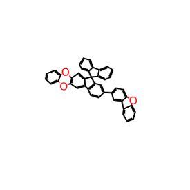 c1ccc2c(c1)Oc1cc3c(cc1O2)C1(c2ccccc2-c2ccccc21)c1cc(-c2ccc4oc5ccccc5c4c2)ccc1-3